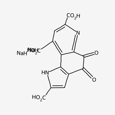 O=C(O)c1cc(C(=O)O)c2c(n1)C(=O)C(=O)c1cc(C(=O)O)[nH]c1-2.[NaH].[NaH]